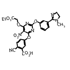 CCOC(=O)COc1nc(Oc2cccc(C3=NCCN3C)c2)nc(Oc2ccc(C#N)c(C(=O)O)c2)c1[N+](=O)[O-]